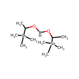 C[CH](OBO[CH](C)[Sn]([CH3])([CH3])[CH3])[Sn]([CH3])([CH3])[CH3]